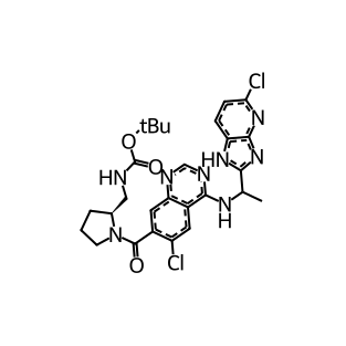 CC(Nc1ncnc2cc(C(=O)N3CCC[C@H]3CNC(=O)OC(C)(C)C)c(Cl)cc12)c1nc2nc(Cl)ccc2[nH]1